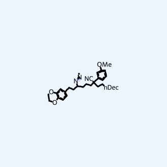 CCCCCCCCCCCCC(C#N)(CCCC(CCc1ccc2c(c1)OCCO2)/N=N/C)c1cccc(OC)c1